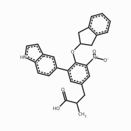 CC(Cc1cc(-c2ccc3[nH]ccc3c2)c(OC2Cc3ccccc3C2)c([N+](=O)[O-])c1)C(=O)O